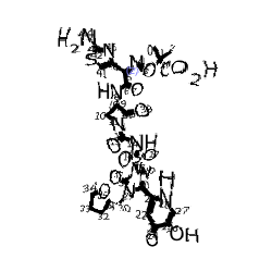 CC(C)(O/N=C(\C(=O)N[C@H]1CN(C(=O)NS(=O)(=O)n2nc(-c3cc(=O)c(O)c[nH]3)n(C[C@@H]3CCCO3)c2=O)C1=O)c1csc(N)n1)C(=O)O